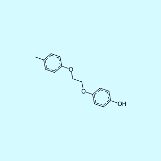 Cc1ccc(OCCOc2ccc(O)cc2)cc1